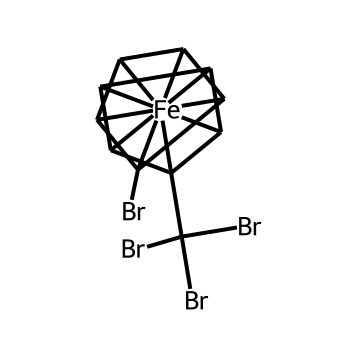 BrC(Br)(Br)[C]12[CH]3[CH]4[CH]5[CH]1[Fe]45321678[CH]2[CH]1[CH]6[C]7(Br)[CH]28